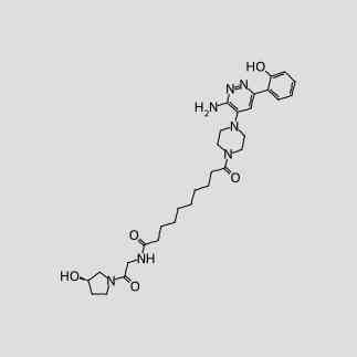 Nc1nnc(-c2ccccc2O)cc1N1CCN(C(=O)CCCCCCCCC(=O)NCC(=O)N2CC[C@@H](O)C2)CC1